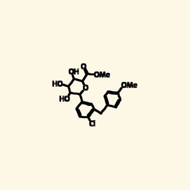 COC(=O)C1OC(c2ccc(Cl)c(Cc3ccc(OC)cc3)c2)C(O)C(O)C1O